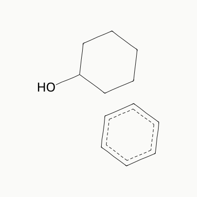 OC1CCCCC1.c1ccccc1